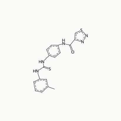 Cc1cccc(NC(=S)Nc2ccc(NC(=O)c3csnn3)cc2)c1